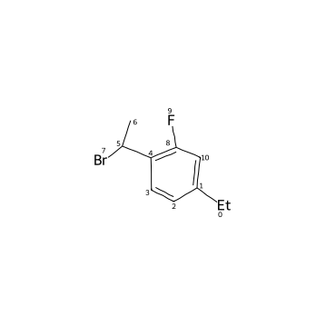 CCc1ccc(C(C)Br)c(F)c1